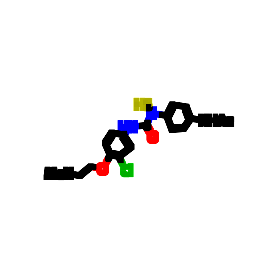 CNCCOc1ccc(NC(=O)N(S)c2ccc(NC(C)=O)cc2)cc1Cl